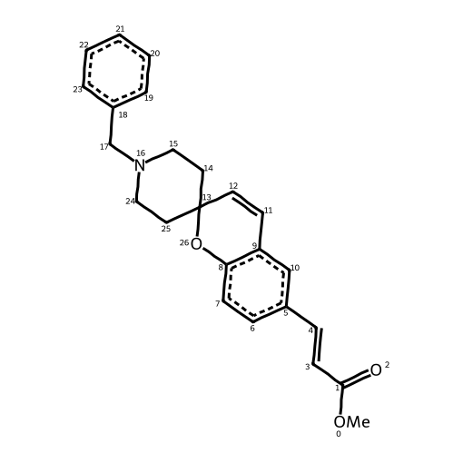 COC(=O)C=Cc1ccc2c(c1)C=CC1(CCN(Cc3ccccc3)CC1)O2